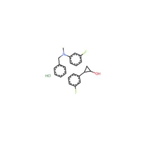 CN(Cc1ccccc1)c1cccc(F)c1.Cl.OC1CC1c1cccc(F)c1